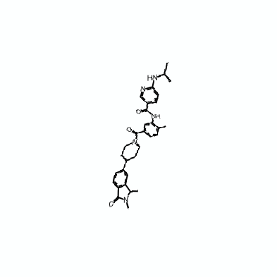 Cc1ccc(C(=O)N2CCC(c3ccc4c(c3)C(C)N(C)C4=O)CC2)cc1NC(=O)c1ccc(NC(C)C)nc1